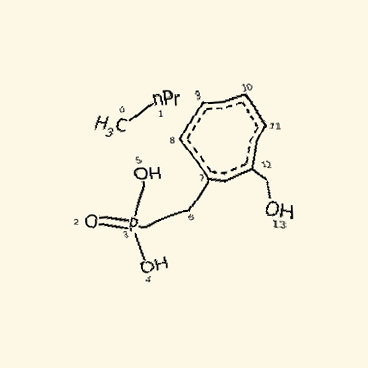 CCCC.O=P(O)(O)Cc1ccccc1O